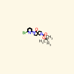 CC(C)(C)OC(=O)N1CCC2(CCN(c3cccc(Br)n3)C2=O)C1